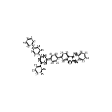 c1ccc(-c2ccc(-c3nc(-c4ccccc4)nc(-c4ccc(-c5ccc6c(c5)oc5nc7ccccc7nc56)cc4)n3)cc2)cc1